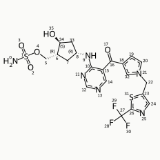 NS(=O)(=O)OC[C@H]1C[C@@H](Nc2ncncc2C(=O)c2ccn(Cc3cnc(C(F)(F)F)s3)c2)C[C@@H]1O